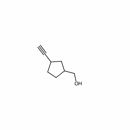 C#CC1CCC(CO)C1